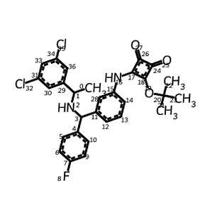 CC(NC(c1ccc(F)cc1)c1cccc(Nc2c(OC(C)(C)C)c(=O)c2=O)c1)c1cc(Cl)cc(Cl)c1